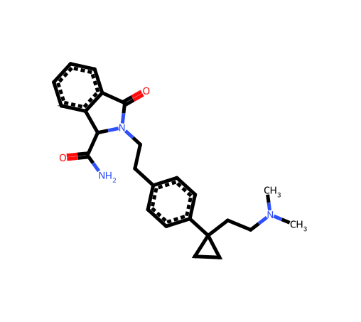 CN(C)CCC1(c2ccc(CCN3C(=O)c4ccc[c]c4C3C(N)=O)cc2)CC1